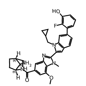 COc1cc(C(=O)N2C[C@H]3CC[C@@H]2[C@@H]3N)cc2nc(-c3cc4ccc(-c5cccc(O)c5F)cc4n3CC3CC3)n(C)c12